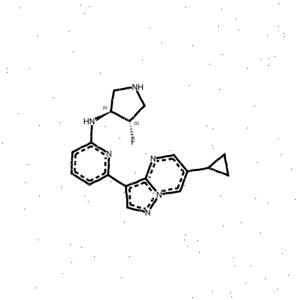 F[C@H]1CNC[C@@H]1Nc1cccc(-c2cnn3cc(C4CC4)cnc23)n1